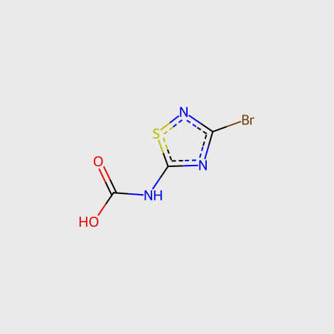 O=C(O)Nc1nc(Br)ns1